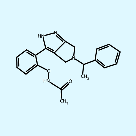 CC(=O)NOc1ccccc1-c1[nH]nc2c1CN(C(C)c1ccccc1)C2